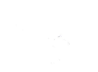 CC(C)(C)C1c2cc(Cl)ccc2CC(C(=O)N2C[C@H](CCCB3OC(C)(C)C(C)(C)O3)[C@](N=[N+]=N)(C(=O)OCC(=O)c3ccccc3)C2)N1C(=O)[O-]